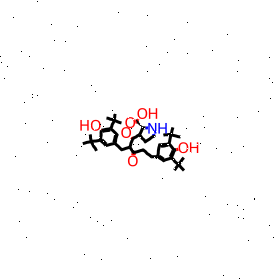 CC(C)(C)c1cc(CCC(=O)C(Cc2cc(C(C)(C)C)c(O)c(C(C)(C)C)c2)C(=O)C2CCN[C@@H]2C(=O)O)cc(C(C)(C)C)c1O